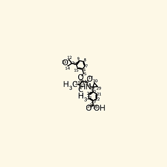 CC(C)[C@@H](OCc1cccc(C2COC2)c1)C(=O)NC1(c2ccc(C(=O)O)cc2)CC1